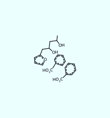 CC(O)CC(O)Cc1ccco1.O=C(O)c1ccccc1.O=C(O)c1ccccc1